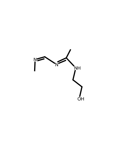 C/N=C\N=C(/C)NCCO